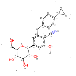 COc1cc([C@@H]2O[C@H](CO)[C@@H](O)[C@H](O)[C@H]2O)cc(Cc2ccc(C3CC3)cc2)c1C#N